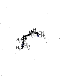 C=C(C)/C=C(\C)CC(=O)N(C)c1ccc(CCCCc2nnc(NC(=C)CC(=C)/C=C\C)s2)nn1